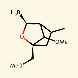 B[C@@H]1O[C@@]2(COC)CC(C)C1C2OC